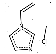 C=Cn1ccnc1.CCl